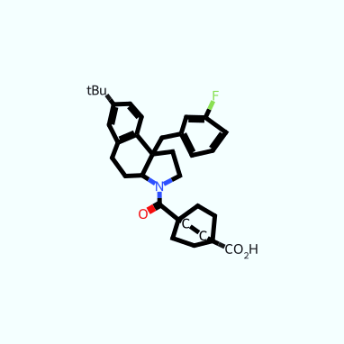 CC(C)(C)c1ccc2c(c1)CCC1N(C(=O)C34CCC(C(=O)O)(CC3)CC4)CCC21Cc1cccc(F)c1